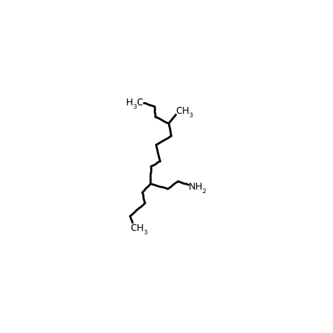 CCCCC(CCN)CCCCC(C)CCC